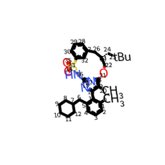 Cc1cccc(CC2CCCCC2)c1-c1nc2nc(c1C)OC[C@@H](CC(C)(C)C)Cc1cccc(c1)S(=O)(=O)N2